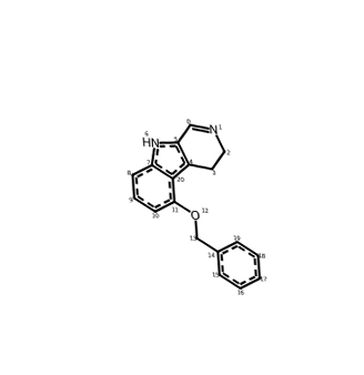 C1=NCCc2c1[nH]c1cccc(OCc3ccccc3)c21